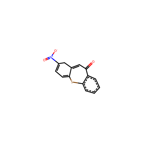 O=C1C=C2CC([N+](=O)[O-])=CC=C2Sc2ccccc21